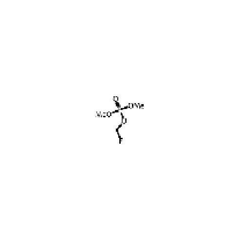 COP(=O)(OC)OCF